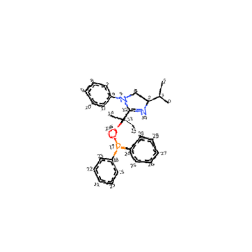 CC(C)C1CN(c2ccccc2)C(C(C)(C)OP(c2ccccc2)c2ccccc2)=N1